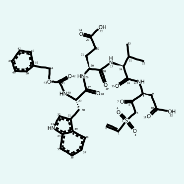 C=CS(=O)(=O)CC(=O)[C@H](CC(=O)O)NC(=O)[C@@H](NC(=O)[C@H](CCC(=O)O)NC(=O)[C@H](Cc1c[nH]c2ccccc12)NC(=O)OCc1ccccc1)C(C)C